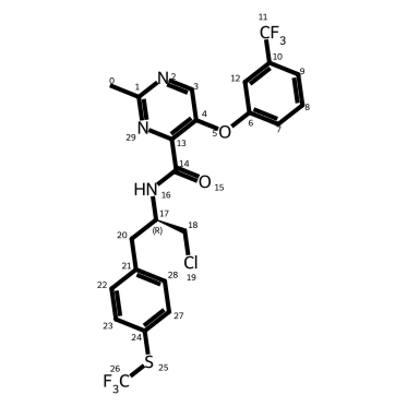 Cc1ncc(Oc2cccc(C(F)(F)F)c2)c(C(=O)N[C@@H](CCl)Cc2ccc(SC(F)(F)F)cc2)n1